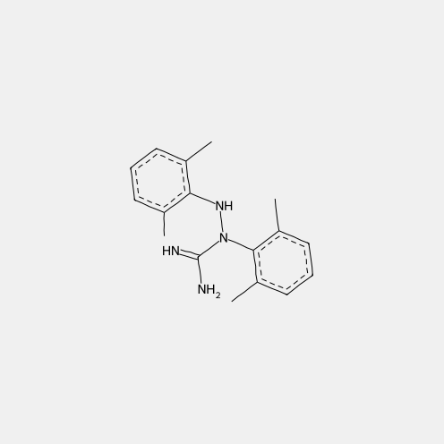 Cc1cccc(C)c1NN(C(=N)N)c1c(C)cccc1C